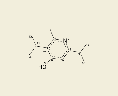 Cc1nc(C(C)C)cc(O)c1C(C)C